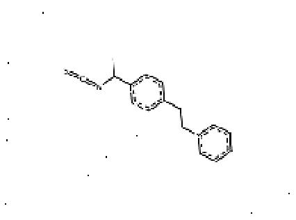 CC(N=C=S)c1ccc(CCc2ccccc2)cc1